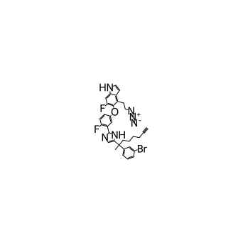 C#CCCCCC(C)(c1cccc(Br)c1)c1cnc(-c2cc(Oc3c(F)cc4[nH]ccc4c3CCN=[N+]=[N-])ccc2F)[nH]1